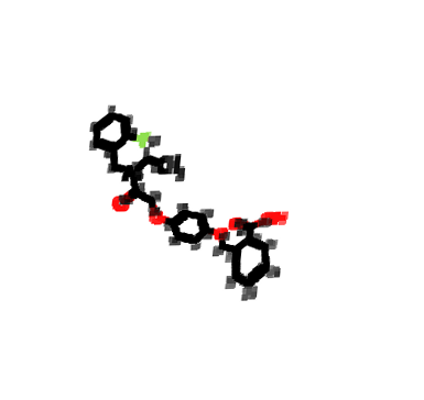 CC[As](Cc1ccccc1F)C(=O)COc1ccc(OCc2ccccc2C(=O)O)cc1